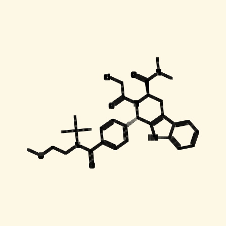 COCCN(C(=O)c1ccc([C@H]2c3[nH]c4ccccc4c3C[C@H](C(=O)N(C)C)N2C(=O)CCl)cc1)C(C)(C)C